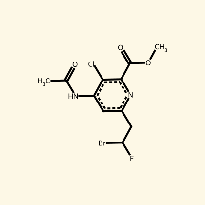 COC(=O)c1nc(CC(F)Br)cc(NC(C)=O)c1Cl